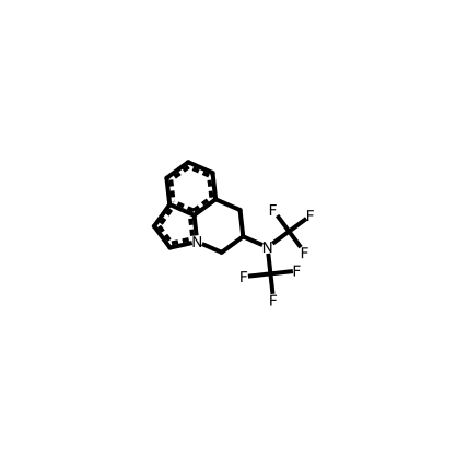 FC(F)(F)N(C1Cc2cccc3ccn(c23)C1)C(F)(F)F